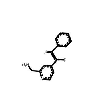 NCc1cc(/C(F)=C(\F)c2ccccc2)ccn1